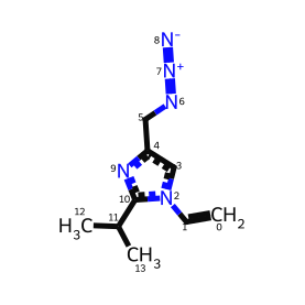 C=Cn1cc(CN=[N+]=[N-])nc1C(C)C